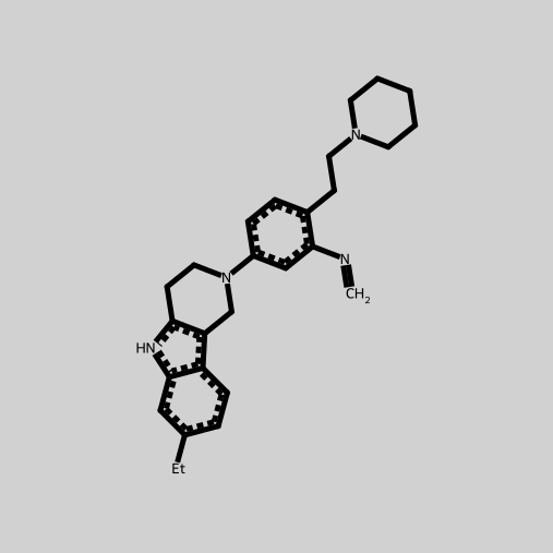 C=Nc1cc(N2CCc3[nH]c4cc(CC)ccc4c3C2)ccc1CCN1CCCCC1